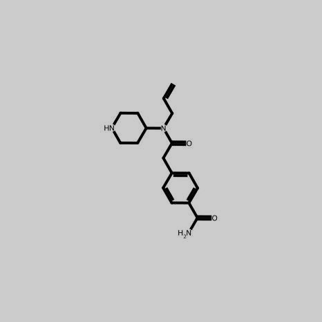 C=CCN(C(=O)Cc1ccc(C(N)=O)cc1)C1CCNCC1